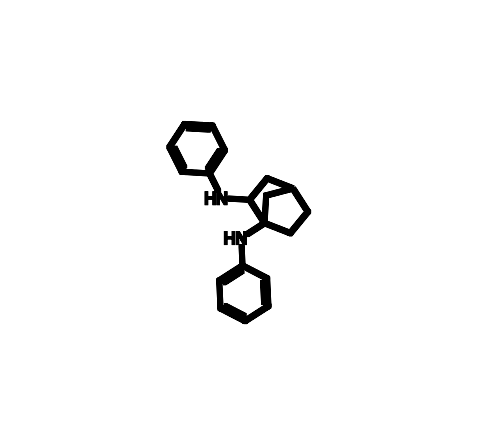 c1ccc(NC2CC3CCC2(Nc2ccccc2)C3)cc1